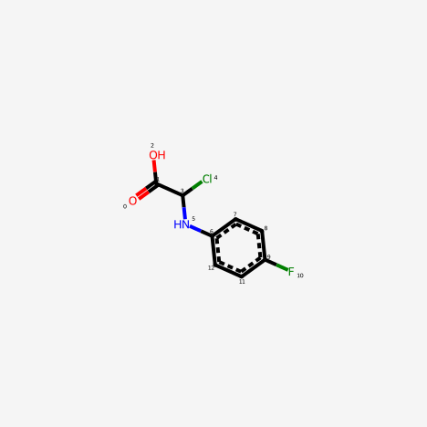 O=C(O)C(Cl)Nc1ccc(F)cc1